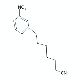 N#CCCCCCCc1cccc([N+](=O)[O-])c1